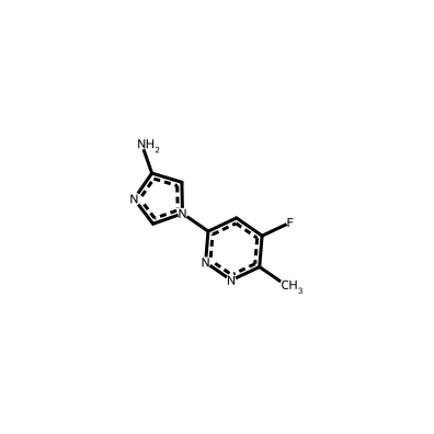 Cc1nnc(-n2cnc(N)c2)cc1F